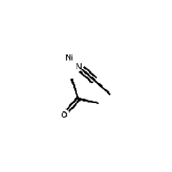 CC#N.CC(C)=O.[Ni]